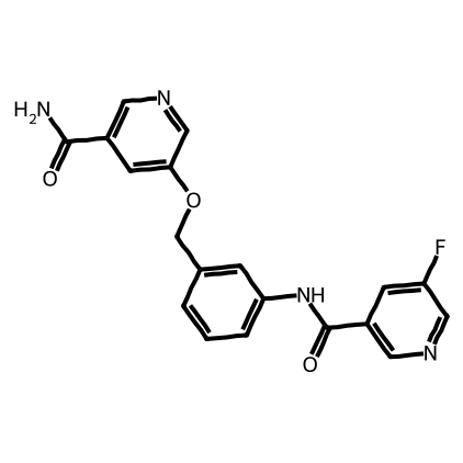 NC(=O)c1cncc(OCc2cccc(NC(=O)c3cncc(F)c3)c2)c1